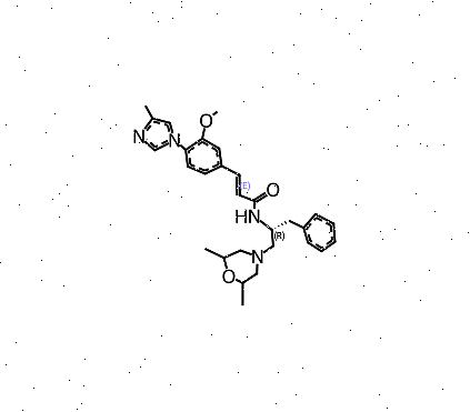 COc1cc(/C=C/C(=O)N[C@H](Cc2ccccc2)CN2CC(C)OC(C)C2)ccc1-n1cnc(C)c1